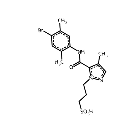 Cc1cc(NC(=O)c2c(C)cnn2CCCS(=O)(=O)O)c(C)cc1Br